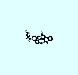 CN(C)C(O)c1cn(CC2(O)CCN(C(=O)C(C)(C)CC(F)F)CC23CCCC3)c(=O)cc1-c1ccccc1